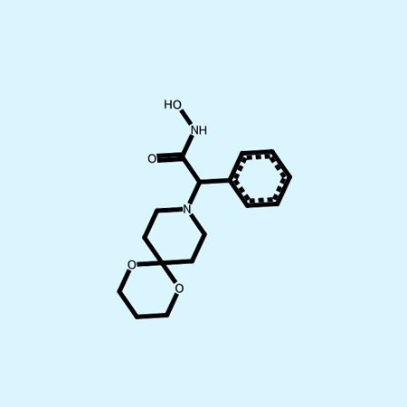 O=C(NO)C(c1ccccc1)N1CCC2(CC1)OCCCO2